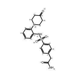 NC(=O)Cc1ccc(S(=O)(=O)Nc2ccccc2N2CCC(=O)CC2)cc1